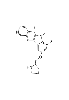 Cc1c2ccncc2cc2c3cc(OC[C@H]4CCCN4)cc(F)c3n(C)c12